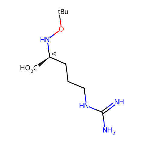 CC(C)(C)ON[C@@H](CCCNC(=N)N)C(=O)O